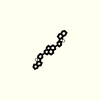 c1ccc2c(c1)ccc1c3cc(-c4cc5ccc6cc(-c7ccc8oc9c%10ccccc%10ccc9c8c7)cc7ccc(c4)c5c67)ccc3oc21